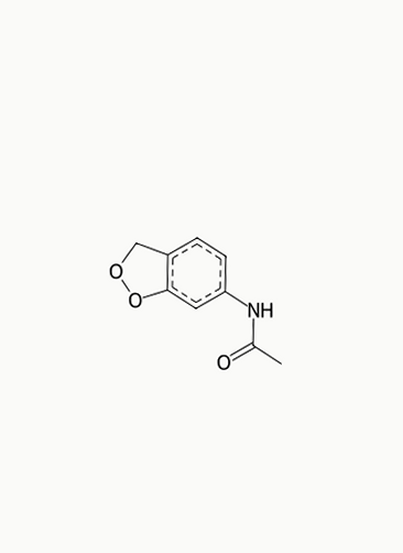 CC(=O)Nc1ccc2c(c1)OOC2